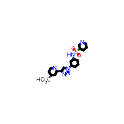 O=C(O)c1ccnc(-c2cn(-c3cccc(NS(=O)(=O)c4cccnc4)c3)nn2)c1